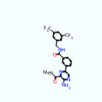 CNC(=O)c1nc(-c2cccc(C(=O)NCc3cc(C(F)(F)F)cc(C(F)(F)F)c3)c2)cnc1N